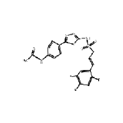 CC(=O)Nc1ccc(-c2nnc(NS(=O)(=O)CC=Cc3cc(F)c(Br)cc3F)s2)cc1